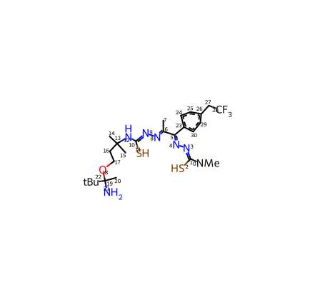 CN/C(S)=N/N=C(/C(C)=N/N=C(\S)NC(C)(C)CCOC(C)(N)C(C)(C)C)c1ccc(CC(F)(F)F)cc1